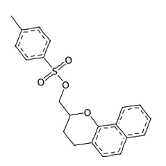 Cc1ccc(S(=O)(=O)OCC2CCc3ccc4ccccc4c3O2)cc1